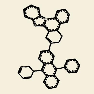 C1=CCC(c2c3ccccc3c(-c3ccccc3)c3cc(C4=Cc5c(c6ccccc6n6c5nc5ccccc56)CC4)ccc23)C=C1